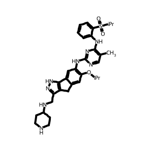 Cc1cnc(Nc2cc3c(cc2OC(C)C)Cc2c(CNC4CCNCC4)n[nH]c2-3)nc1Nc1ccccc1S(=O)(=O)C(C)C